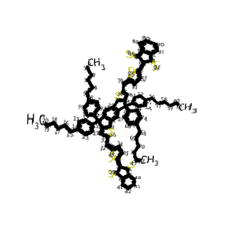 CCCCCCc1ccc(C2(c3ccc(CCCCCC)cc3)c3cc4c(cc3-c3sc(/C=c5\ccc(=C6C(=S)c7ccccc7C6=S)s5)cc32)C(c2ccc(CCCCCC)cc2)(c2ccc(CCCCCC)cc2)c2cc(/C=c3\ccc(=C5C(=S)c6ccccc6C5=S)s3)sc2-4)cc1